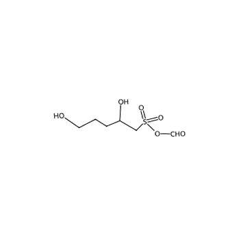 O=COS(=O)(=O)CC(O)CCCO